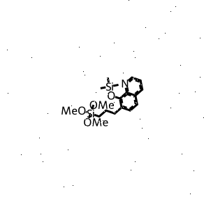 CO[Si](CCCc1ccc2cccnc2c1O[Si](C)(C)C)(OC)OC